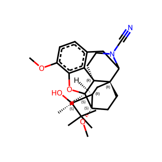 COc1ccc2c3c1O[C@@H]1[C@]4(OC)CC[C@]5(C[C@@H]4[C@](C)(O)C(C)(C)C)C(C2)N(C#N)CC[C@@]315